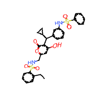 CCc1ccccc1S(=O)(=O)NCc1cc(O)c(C(c2cccc(NS(=O)(=O)c3ccccc3)c2)C2CC2)c(=O)o1